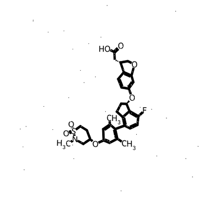 Cc1cc(OC2CCS(=O)(=O)N(C)C2)cc(C)c1-c1ccc(F)c2c1CC[C@H]2Oc1ccc2c(c1)OC[C@H]2CC(=O)O